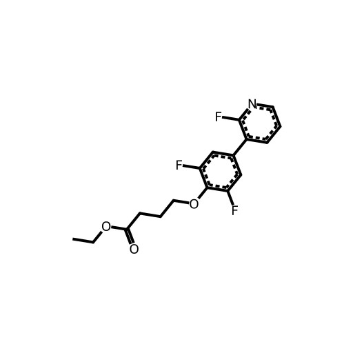 CCOC(=O)CCCOc1c(F)cc(-c2cccnc2F)cc1F